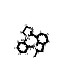 Cc1cc2cccc3c4n(c5ccccc5n1c23)CCN=4